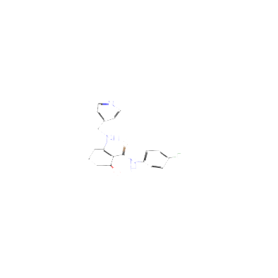 O=C1CCCC(NCc2ccncc2)=C1C(=S)Nc1ccc(F)cc1